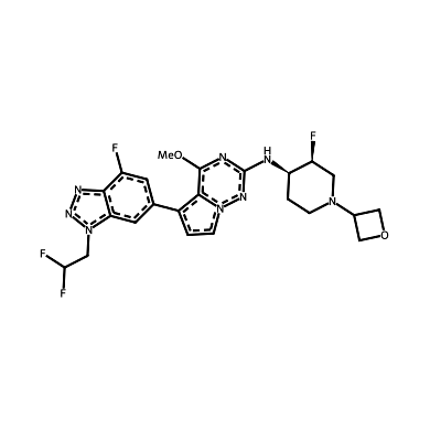 COc1nc(N[C@@H]2CCN(C3COC3)C[C@@H]2F)nn2ccc(-c3cc(F)c4nnn(CC(F)F)c4c3)c12